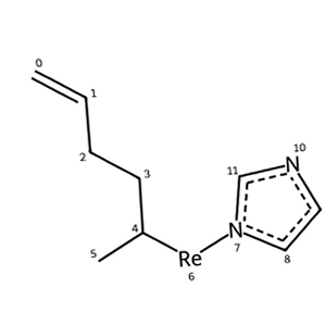 C=CCC[CH](C)[Re][n]1ccnc1